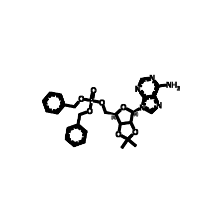 CC1(C)OC2C(O1)[C@@H](COP(=O)(OCc1ccccc1)OCc1ccccc1)O[C@H]2n1cnc2c(N)ncnc21